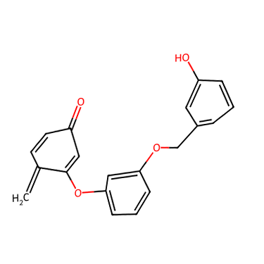 C=C1C=CC(=O)C=C1Oc1cccc(OCc2cccc(O)c2)c1